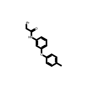 Cc1ccc(Oc2cccc(NC(=O)CC(C)C)c2)cc1